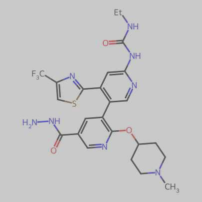 CCNC(=O)Nc1cc(-c2nc(C(F)(F)F)cs2)c(-c2cc(C(=O)NN)cnc2OC2CCN(C)CC2)cn1